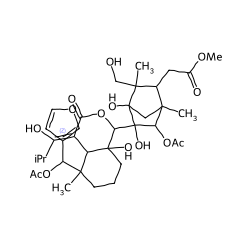 COC(=O)CC1C2(C)CC(O)(C1(C)CO)C(O)(C1OC(=O)/C(=C(\O)C(C)C)C3C(C)(C(OC(C)=O)c4ccoc4)CCCC31O)C2OC(C)=O